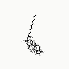 C=CCCCCCCCCC(=O)O[C@@]1(O)CC[C@@]2(C)C(=CC[C@@H]3[C@@H]2CC[C@]2(C)C(=O)CC[C@@H]32)C1